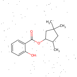 CC1CC(C)(C)CC1OC(=O)c1ccccc1O